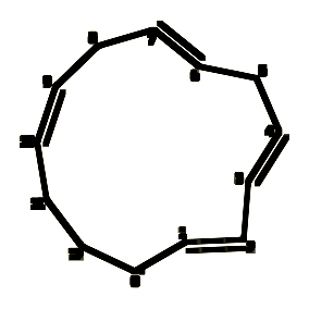 [CH]1/C=C/C=C/C/C=C/C/C=C\CC1